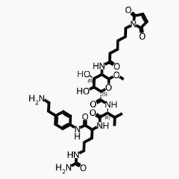 COC1O[C@H](C(=O)N[C@@H](C(=O)NC(CCCNC(N)=O)C(=O)Nc2ccc(CCN)cc2)C(C)C)C(O)[C@H](O)C1NC(=O)CCCCCN1C(=O)C=CC1=O